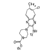 CCNc1nc2c(nc1N1CCN(C(=O)OC(C)(C)C)CC1)=CCC(C)=C(Cl)C=2